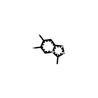 Cc1nnc2cc(I)c(F)cn12